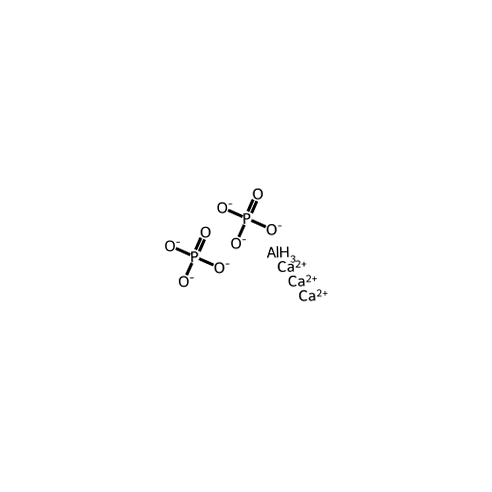 O=P([O-])([O-])[O-].O=P([O-])([O-])[O-].[AlH3].[Ca+2].[Ca+2].[Ca+2]